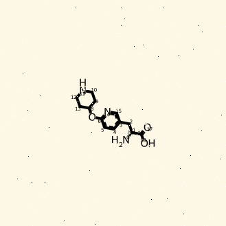 N[C@@H](Cc1ccc(OC2CCNCC2)nc1)C(=O)O